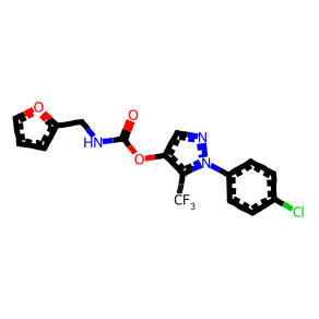 O=C(NCc1ccco1)Oc1cnn(-c2ccc(Cl)cc2)c1C(F)(F)F